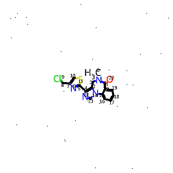 CN1Cc2c(-c3nc(CCl)cs3)ncn2-c2ccccc2C1=O